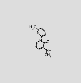 CNc1cccn(-c2cccc(C)n2)c1=O